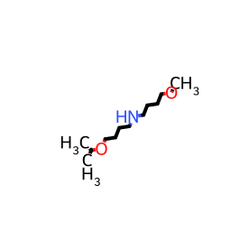 COCCCCNCCCCOC(C)C